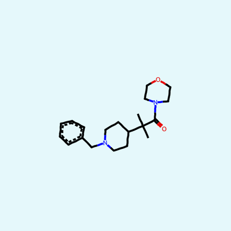 CC(C)(C(=O)N1CCOCC1)C1CCN(Cc2ccccc2)CC1